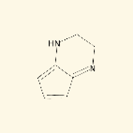 C1=CC2=NCCNC2=C1